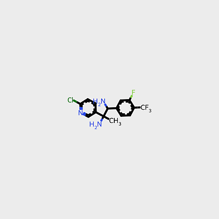 CC(N)(c1ccc(Cl)nc1)C(N)c1ccc(C(F)(F)F)c(F)c1